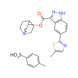 Cc1ccc(S(=O)(=O)O)cc1.Cc1cnc(-c2ccc3[nH]nc(C(=O)OC4CN5CCC4CC5)c3c2)s1